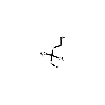 CCCCOC(C)(C)OO